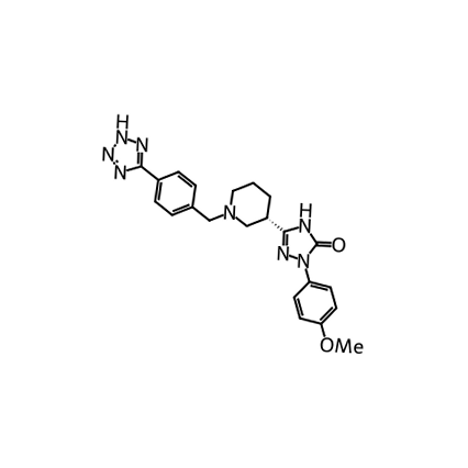 COc1ccc(-n2nc([C@H]3CCCN(Cc4ccc(-c5nn[nH]n5)cc4)C3)[nH]c2=O)cc1